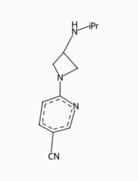 CC(C)NC1CN(c2ccc(C#N)cn2)C1